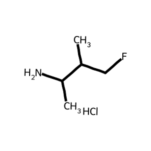 CC(N)C(C)CF.Cl